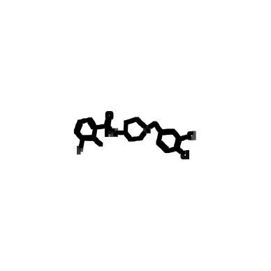 Cc1c(F)cccc1C(=O)NC1CCN(Cc2ccc(Cl)c(Cl)c2)CC1